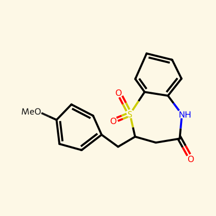 COc1ccc(CC2CC(=O)Nc3ccccc3S2(=O)=O)cc1